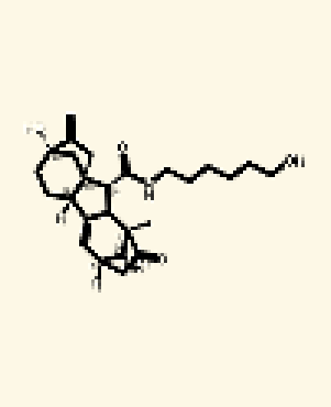 C=C1C[C@]23C[C@@]1(O)CC[C@H]2C1=C[C@H]2CC(=O)[C@@](C)(C1[C@@H]3C(=O)NCCCCCCO)[C@H]2O